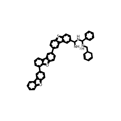 NC(NC(NCC1C=CC=CC1)c1ccccc1)c1ccc2sc3ccc(-c4ccc5oc6c(-c7ccc8oc9ccccc9c8c7)cccc6c5c4)cc3c2c1